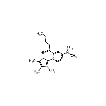 CCCCC(=N)c1cc(N(C)C)ccc1C1=C(C)C(C)=C(C)C1